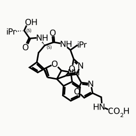 CC(C)C1NC(=O)[C@@H](NC(=O)[C@@H](O)C(C)C)Cc2ccc3c(c2)C2(c4ccccc4NC2O3)c2oc1nc2-c1nc(CNC(=O)O)co1